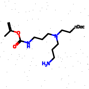 C=C(C)OC(=O)NCCCN(CCCN)CCCCCCCCCCCC